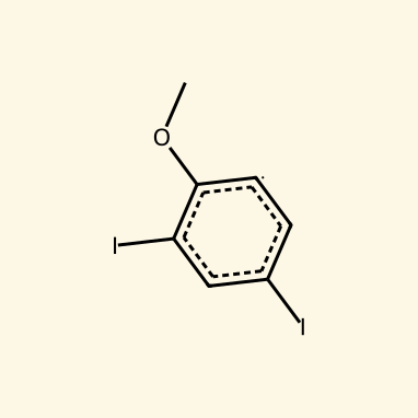 COc1[c]cc(I)cc1I